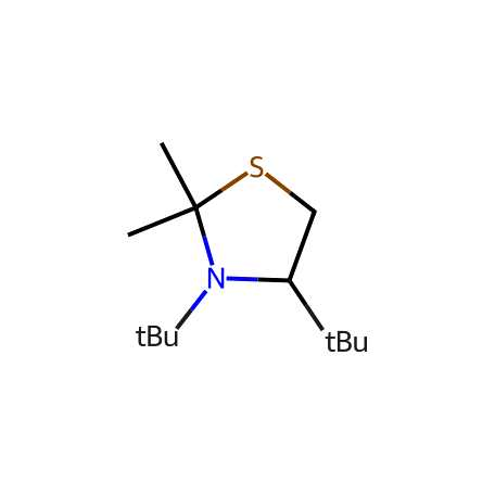 CC(C)(C)C1CSC(C)(C)N1C(C)(C)C